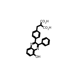 O=C(O)C(Cc1ccc(-c2nc3cccc(O)c3nc2-c2ccccc2)cc1)C(=O)O